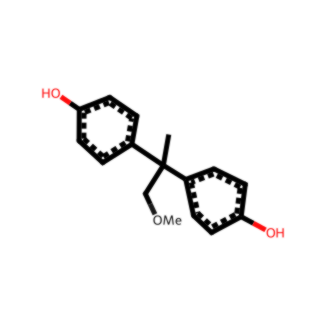 COCC(C)(c1ccc(O)cc1)c1ccc(O)cc1